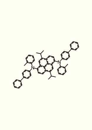 Cc1ccccc1N(c1ccc(-c2ccccc2)cc1)c1ccc2c(C(C)C)cc3c(N(c4ccc(-c5ccccc5)cc4)c4ccccc4C)ccc4c(C(C)C)cc1c2c43